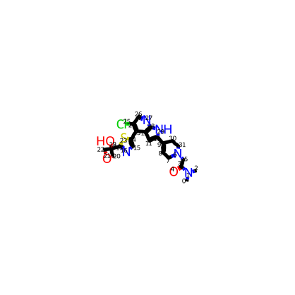 CN(C)C(=O)CN1CC=C(c2cc3c(-c4cnc(C5(O)COC5)s4)c(Cl)cnc3[nH]2)CC1